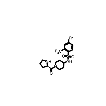 CC(C)c1ccc(S(=O)(=O)NC2CCN(C(=O)[C@H]3CCCN3)CC2)c(C(F)(F)F)c1